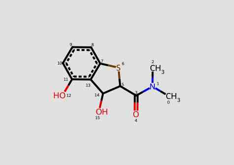 CN(C)C(=O)C1Sc2cccc(O)c2C1O